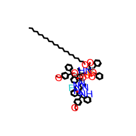 C#C[C@]1(COP(=O)(N[C@@H](Cc2ccccc2)C(=O)OCCCCCCCCCCCCCCCCCCCCCC)Oc2ccccc2)O[C@@H](n2cnc3c(NC(c4ccccc4)(c4ccccc4)c4ccc(OC)cc4)nc(F)nc32)C[C@@H]1OC(c1ccccc1)(c1ccccc1)c1ccc(OC)cc1